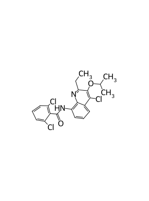 CCc1nc2c(NC(=O)c3c(Cl)cccc3Cl)cccc2c(Cl)c1OC(C)C